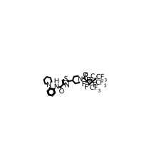 O=C(Nc1ccccc1N1CCCCC1)c1csc(C2CCN(C(=O)C(F)(F)C(F)(C(F)(F)F)C(F)(F)C(C(F)(F)F)(C(F)(F)F)C(F)(F)F)CC2)n1